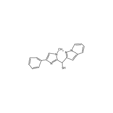 Cn1cc(-c2ccccc2)nc1C(S)c1cc2ccccn2n1